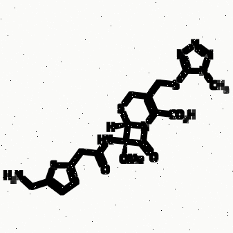 CO[C@@]1(NC(=O)Cc2ccc(CN)s2)C(=O)N2C(C(=O)O)=C(CSc3nnnn3C)CS[C@H]21